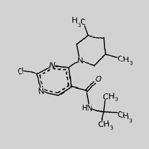 CC1CC(C)CN(c2nc(Cl)ncc2C(=O)NC(C)(C)C)C1